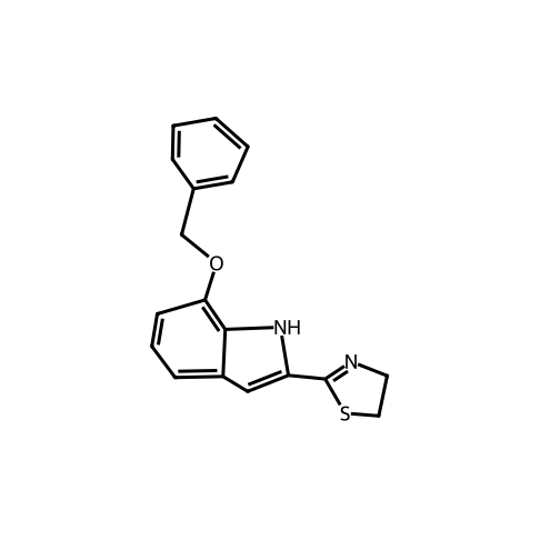 c1ccc(COc2cccc3cc(C4=NCCS4)[nH]c23)cc1